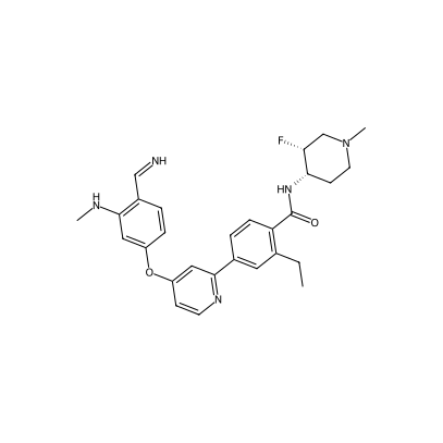 CCc1cc(-c2cc(Oc3ccc(C=N)c(NC)c3)ccn2)ccc1C(=O)N[C@H]1CCN(C)C[C@H]1F